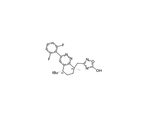 CC(C)(C)[C@H]1CC[C@](C)(Cc2noc(O)n2)c2nnc(-c3c(F)cccc3F)cc21